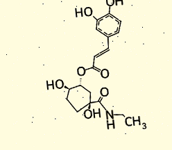 CCNC(=O)[C@]1(O)CC[C@@H](O)[C@H](OC(=O)/C=C/c2ccc(O)c(O)c2)C1